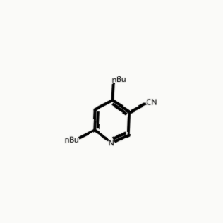 CCCCc1cc(CCCC)c(C#N)cn1